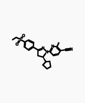 CCS(=O)(=O)c1ccc(C2=NN(c3ccc(C#N)c(C)n3)[C@@H](C3CCCC3)C2)cc1